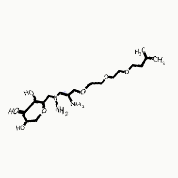 CC(C)CCOCCOCCOC/C(N)=C/N(N)CC1OCC(O)C(O)C1O